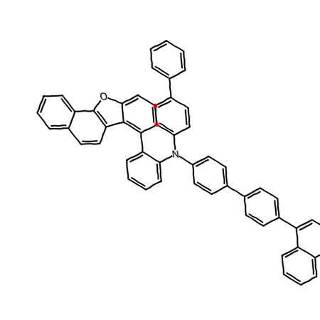 c1ccc(-c2ccc(N(c3ccc(-c4ccc(-c5cccc6ccccc56)cc4)cc3)c3ccccc3-c3cccc4oc5c6ccccc6ccc5c34)cc2)cc1